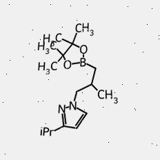 CC(CB1OC(C)(C)C(C)(C)O1)Cn1ccc(C(C)C)n1